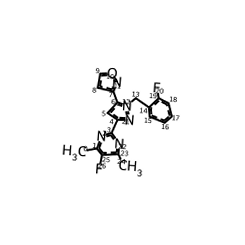 Cc1nc(-c2cc(-c3ccon3)n(Cc3ccccc3F)n2)nc(C)c1F